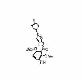 COc1c(C#N)ccc(OCC(C)C)c1C(=O)N1Cc2cn(-c3ccc(F)cc3)nc2C1